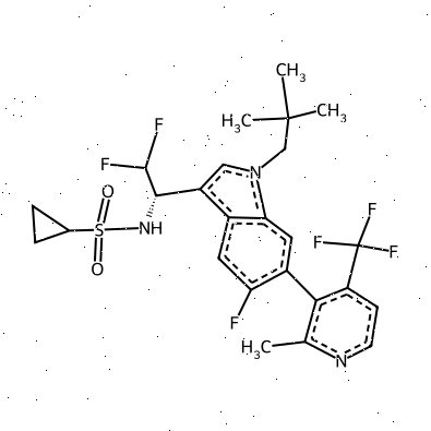 Cc1nccc(C(F)(F)F)c1-c1cc2c(cc1F)c([C@H](NS(=O)(=O)C1CC1)C(F)F)cn2CC(C)(C)C